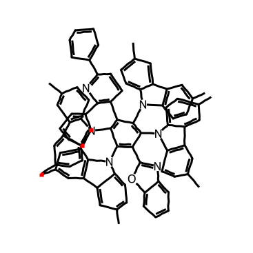 Cc1ccc2c(c1)c1cc(C)ccc1n2-c1c(-c2nc3ccccc3o2)c(-n2c3ccc(C)cc3c3cc(C)ccc32)c(-n2c3ccc(C)cc3c3cc(C)ccc32)c(-c2ccc(-c3ccccc3)nc2-c2ccccc2)c1-n1c2ccc(C)cc2c2cc(C)ccc21